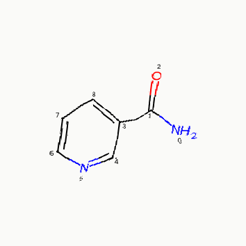 NC(=O)c1[c]nccc1